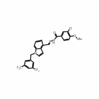 CCCCOc1ccc(C(=O)N/N=C/c2cccc3c2ccn3Cc2cc(C(F)(F)F)cc(C(F)(F)F)c2)cc1Cl